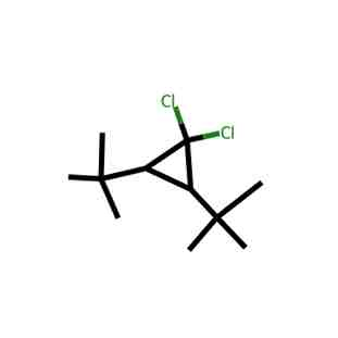 CC(C)(C)C1C(C(C)(C)C)C1(Cl)Cl